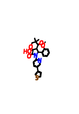 COc1ccccc1C1C2C(=O)C(C)(C)COC2(O)C(=O)N1c1ccc(-c2ccsc2)cn1